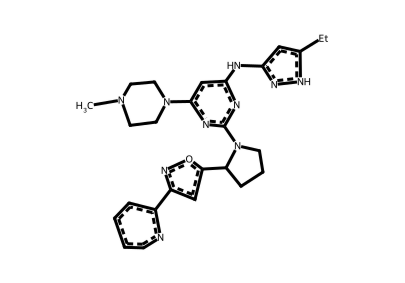 CCc1cc(Nc2cc(N3CCN(C)CC3)nc(N3CCCC3c3cc(-c4ccccn4)no3)n2)n[nH]1